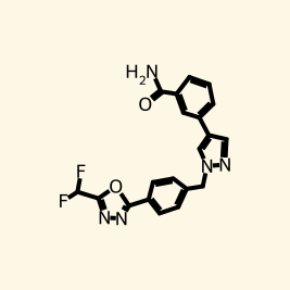 NC(=O)c1cccc(-c2cnn(Cc3ccc(-c4nnc(C(F)F)o4)cc3)c2)c1